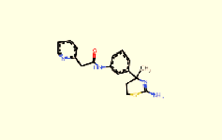 CC1(c2cccc(NC(=O)Cc3ccccn3)c2)CCSC(N)=N1